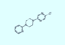 Clc1cnc(N2CCN(c3ccccn3)CC2)cn1